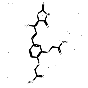 COC(=O)COc1ccc(/C=C/C(C)=C2/SC(=S)NC2=O)cc1OCC(=O)OC